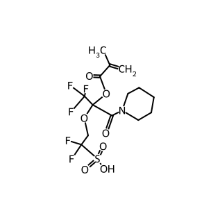 C=C(C)C(=O)OC(OCC(F)(F)S(=O)(=O)O)(C(=O)N1CCCCC1)C(F)(F)F